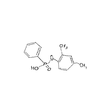 Cc1ccc(OP(=O)(O)c2ccccc2)c(C)c1